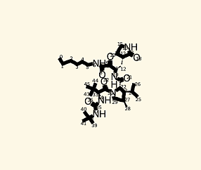 CCCCCCNC(=O)C(=O)[C@H](C[C@@H]1CCNC1=O)NC(=O)[C@@H]1[C@@H](C(C)C)[C@@H](C)CN1C(=O)[C@@H](NC(=O)NC(C)(C)C)C(C)(C)C